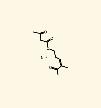 CC(=O)CC(=O)OCCC=C(C)C(=O)[O-].[Na+]